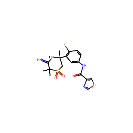 CC1(C)C(=N)N[C@](C)(c2cc(NC(=O)c3cocn3)ccc2F)CS1(=O)=O